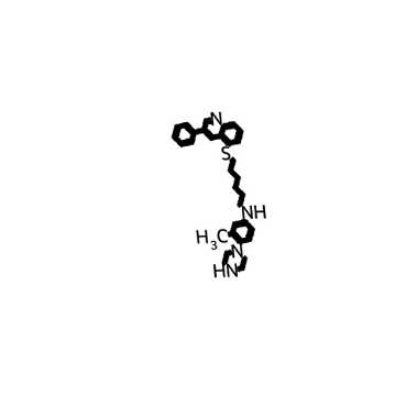 Cc1cc(NCCCCCCSc2cccc3ncc(-c4ccccc4)cc23)ccc1N1CCNCC1